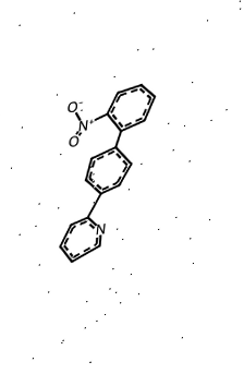 O=[N+]([O-])c1ccccc1-c1ccc(-c2ccccn2)cc1